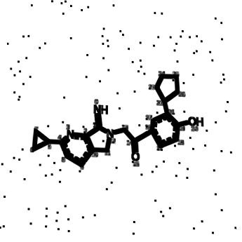 N=C1c2nc(C3CC3)ccc2CN1CC(=O)c1ccc(O)c(C2CCCC2)c1